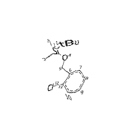 CC(C)(C)[Si](C)(C)OCc1c[c]ccc1Cl